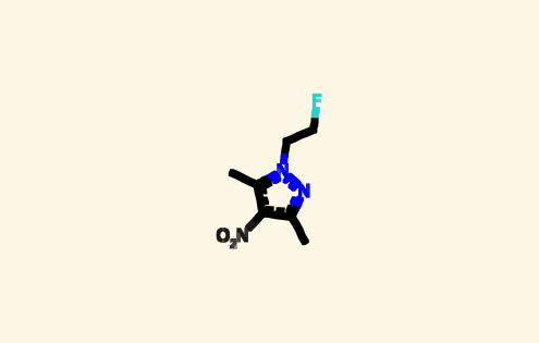 Cc1nn(CCF)c(C)c1[N+](=O)[O-]